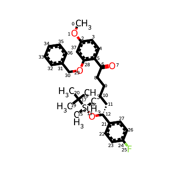 COc1ccc(C(=O)CCCC[C@@H](O[Si](C)(C)C(C)(C)C)c2ccc(F)cc2)c(OCc2ccccc2)c1